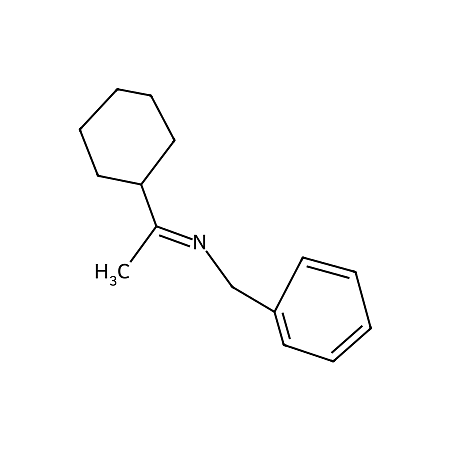 C/C(=N\Cc1ccccc1)C1CCCCC1